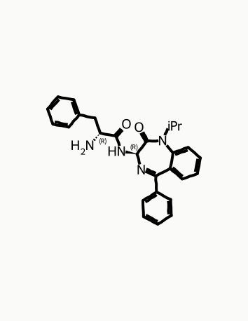 CC(C)N1C(=O)[C@H](NC(=O)[C@H](N)Cc2ccccc2)N=C(c2ccccc2)c2ccccc21